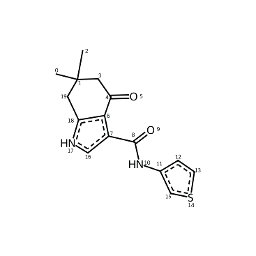 CC1(C)CC(=O)c2c(C(=O)Nc3ccsc3)c[nH]c2C1